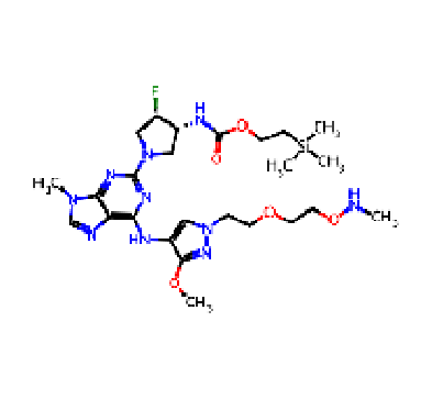 CNOCCOCCn1cc(Nc2nc(N3C[C@@H](F)[C@H](NC(=O)OCC[Si](C)(C)C)C3)nc3c2ncn3C)c(OC)n1